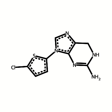 NC1=Nc2c(ncn2-c2ccc(Cl)s2)CN1